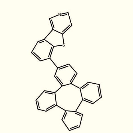 c1ccc2c(c1)-c1ccccc1-c1ccc(-c3cccc4c3sc3ccncc34)cc1-c1ccccc1-2